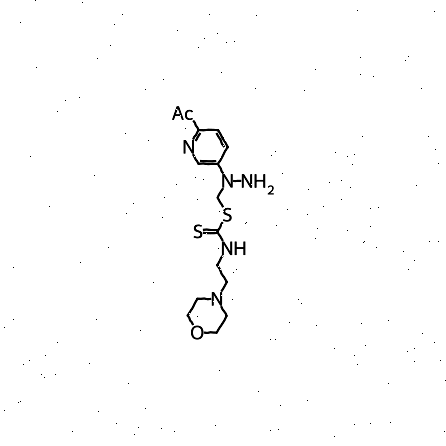 CC(=O)c1ccc(N(N)CSC(=S)NCCN2CCOCC2)cn1